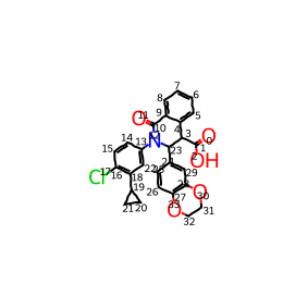 O=C(O)C1c2ccccc2C(=O)N(c2ccc(Cl)c(C3CC3)c2)C1c1ccc2c(c1)OCCO2